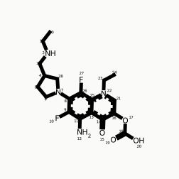 CCNCC1CCN(c2c(F)c(N)c3c(=O)c(OC(=O)O)cn(CC)c3c2F)C1